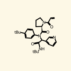 C=CC(=O)N1CCC[C@@H]1C(=O)N(c1ccc(C(C)(C)C)cc1)C(C(=O)NC(C)(C)C)c1cccnc1